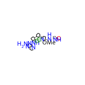 COc1nc(-c2cccc(-c3cccc(Nc4nc(N)nc5cccnc45)c3Cl)c2Cl)ccc1CNC[C@@H]1CCC(=O)N1